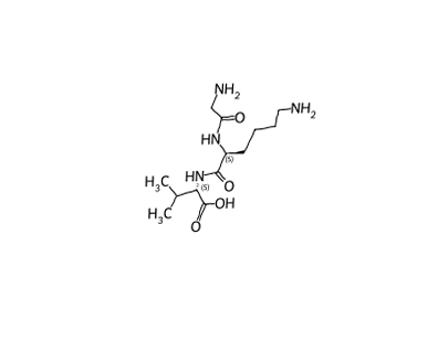 CC(C)[C@H](NC(=O)[C@H](CCCCN)NC(=O)CN)C(=O)O